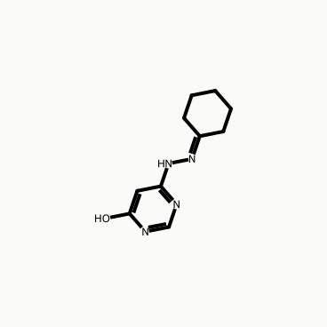 Oc1cc(NN=C2CCCCC2)ncn1